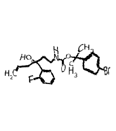 C=CC[C@](O)(CCNC(=O)OC(C)(C)c1ccc(Br)cc1)c1ccccc1F